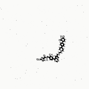 Cc1cc(-c2ncnn3cc(COCCN4CCC(c5ccc([C@@H]6CCC(=O)NC6=O)cc5)CC4)cc23)ccc1CNC(=O)c1noc(C(C)(C)C)n1